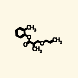 C=CCOCC(=C)C(=O)Oc1ccccc1C